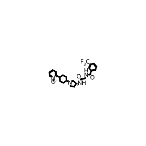 O=C(CNC(=O)c1cccc(C(F)(F)F)c1)N[C@@H]1CCN(C2CCC(c3cccc[n+]3[O-])CC2)C1